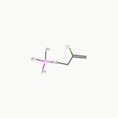 C=C(Cl)[CH2][Pd][PH](C(C)C)(C(C)C)C(C)C